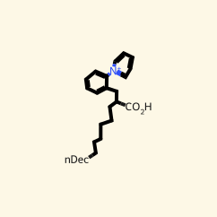 CCCCCCCCCCCCCCCCC(Cc1ccccc1-[n+]1ccccc1)C(=O)O